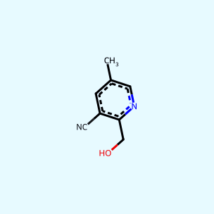 Cc1cnc(CO)c(C#N)c1